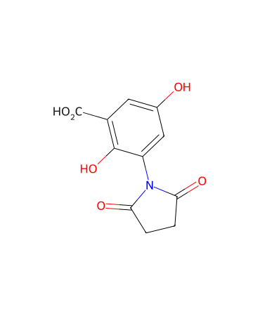 O=C(O)c1cc(O)cc(N2C(=O)CCC2=O)c1O